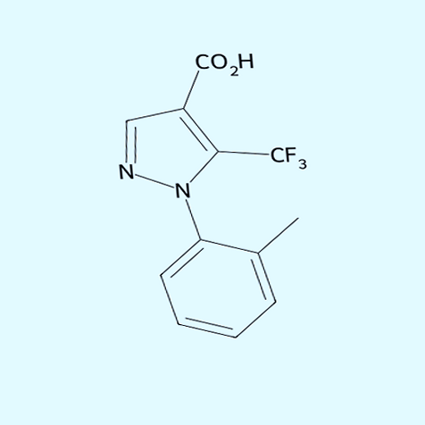 Cc1ccccc1-n1ncc(C(=O)O)c1C(F)(F)F